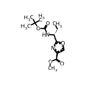 CC[C@@H](NC(=O)OC(C)(C)C)c1nc(C(=O)OC)co1